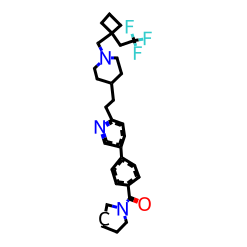 O=C(c1ccc(-c2ccc(CCC3CCN(CC4(CC(F)(F)F)CCC4)CC3)nc2)cc1)N1CCCCC1